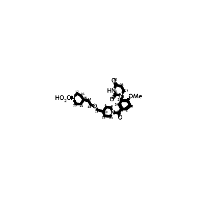 COc1ccc(C(=O)N2CCC(COCCC3CCN(C(=O)O)CC3)CC2)cc1N1CCC(=O)NC1=O